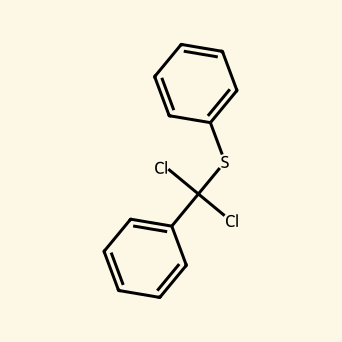 ClC(Cl)(Sc1ccccc1)c1ccccc1